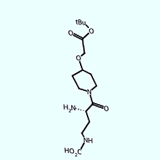 CC(C)(C)OC(=O)COC1CCN(C(=O)[C@@H](N)CCNC(=O)O)CC1